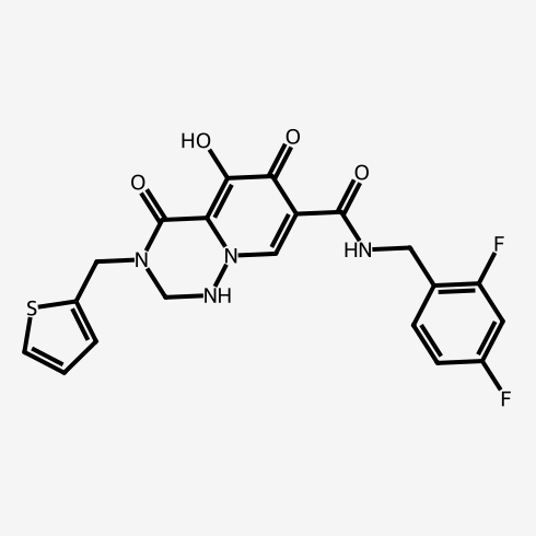 O=C(NCc1ccc(F)cc1F)c1cn2c(c(O)c1=O)C(=O)N(Cc1cccs1)CN2